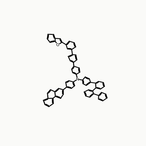 c1ccc(-c2ccccc2-c2ccccc2-c2ccc(N(c3ccc(-c4ccc(-c5cccc(-c6cc7ccccc7o6)c5)cc4)cc3)c3ccc(-c4ccc5c(ccc6ccccc65)c4)cc3)cc2)cc1